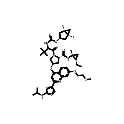 CC[C@@H]1C[C@@]1(C)NC(=O)[C@@H]1C[C@@H](Oc2cc(-c3csc(NC(C)C)n3)nc3cc(OCCOC)ccc23)CN1C(=O)C(NC(=O)O[C@@H]1C[C@@H]2C[C@@H]2C1)C(C)(C)C